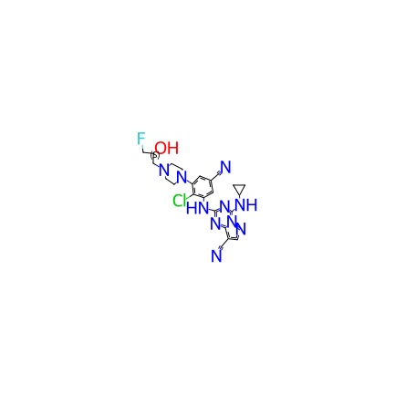 N#Cc1cc(Nc2nc(NC3CC3)n3ncc(C#N)c3n2)c(Cl)c(N2CCN(C[C@H](O)CF)CC2)c1